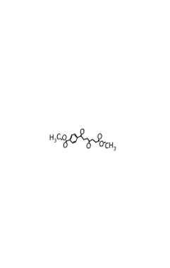 CCOC(=O)CCC(=O)CCC(=O)c1ccc(C(=O)OCC)cc1